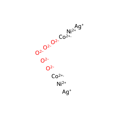 [Ag+].[Ag+].[Co+2].[Co+2].[Ni+2].[Ni+2].[O-2].[O-2].[O-2].[O-2].[O-2]